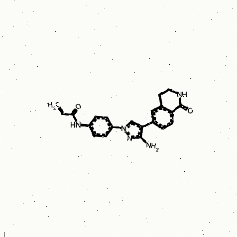 C=CC(=O)Nc1ccc(-n2cc(-c3ccc4c(c3)CCNC4=O)c(N)n2)cc1